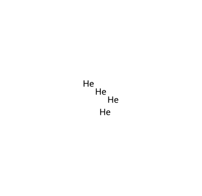 [He].[He].[He].[He]